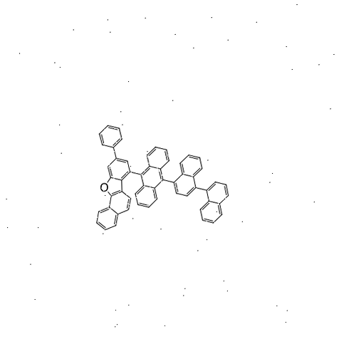 c1ccc(-c2cc(-c3c4ccccc4c(-c4ccc(-c5cccc6ccccc56)c5ccccc45)c4ccccc34)c3c(c2)oc2c4ccccc4ccc23)cc1